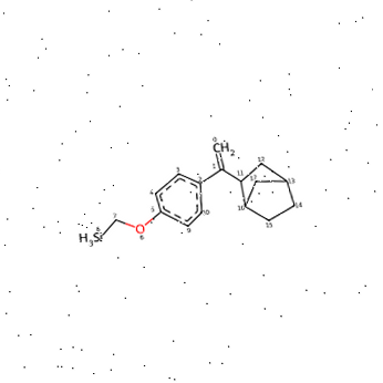 C=C(c1ccc(OC[SiH3])cc1)C1CC2CCC1C2